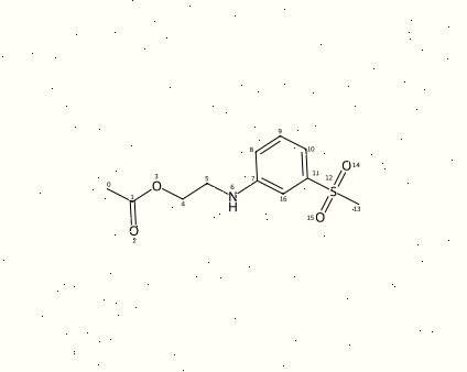 CC(=O)OCCNc1cccc(S(C)(=O)=O)c1